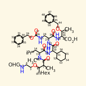 CCCCCC[C@@H](OCCNC=O)C(C)C(=O)N(C)C(CC(C)C)C(=O)NC(C(=O)NC(CNC(=O)OCc1ccccc1)C(=O)NC(C(=O)O)C(C)OCc1ccccc1)C1CCCCC1